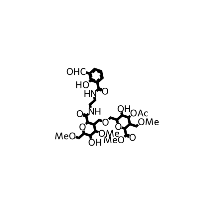 COCC1OC(C(=O)NCCNC(=O)c2cccc(C=O)c2O)C(COCC2OC(C(=O)OC)C(COC)C(OC(C)=O)C2O)C(OC)C1O